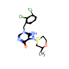 CC1C[SH](n2[nH]c3c2c(=O)ncn3Cc2cccc(Cl)c2Cl)CCO1